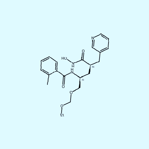 CCOCOC[C@H](C[C@H](Cc1cccnc1)C(=O)NO)NC(=O)c1ccccc1C